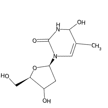 CC1=CN([C@H]2CC(O)[C@@H](CO)O2)C(=O)NC1O